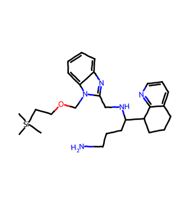 C[Si](C)(C)CCOCn1c(CNC(CCCN)C2CCCc3cccnc32)nc2ccccc21